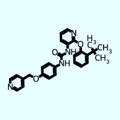 CC(C)(C)c1ccccc1Oc1ncccc1NC(=O)Nc1ccc(OCc2ccncc2)cc1